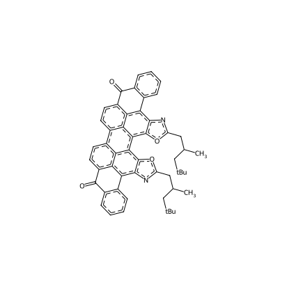 CC(Cc1nc2c3c4c(ccc5c6ccc7c8c(c9nc(CC(C)CC(C)(C)C)oc9c(c86)c(c2o1)c45)-c1ccccc1C7=O)C(=O)c1ccccc1-3)CC(C)(C)C